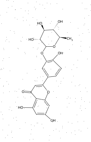 C[C@H]1OC(Oc2cc(-c3cc(=O)c4c(O)cc(O)cc4o3)ccc2O)[C@H](O)[C@@H](O)[C@@H]1O